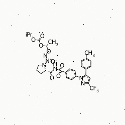 Cc1ccc(-c2cc(C(F)(F)F)nn2-c2ccc(S(=O)(=O)NC(=O)[C@@H]3CCCN3[N+]([O-])=NOC(C)OC(=O)OC(C)C)cc2)cc1